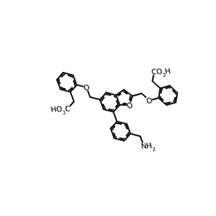 NCc1cccc(-c2cc(COc3ccccc3CC(=O)O)cc3cc(COc4ccccc4CC(=O)O)oc23)c1